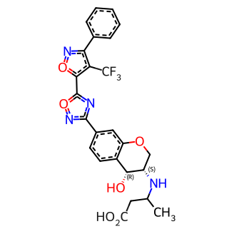 CC(CC(=O)O)N[C@H]1COc2cc(-c3noc(-c4onc(-c5ccccc5)c4C(F)(F)F)n3)ccc2[C@H]1O